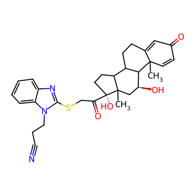 CC12C=CC(=O)C=C1CCC1C2[C@@H](O)CC2(C)C1CC[C@]2(O)C(=O)CSc1nc2ccccc2n1CCC#N